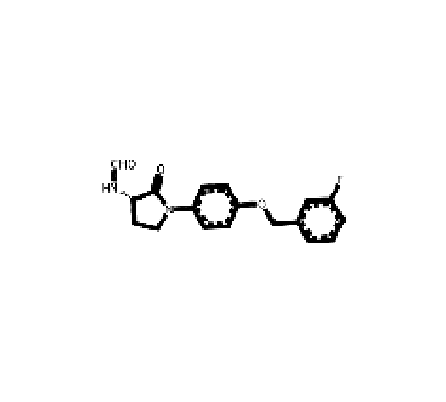 O=CN[C@H]1CCN(c2ccc(OCc3cccc(F)c3)cc2)C1=O